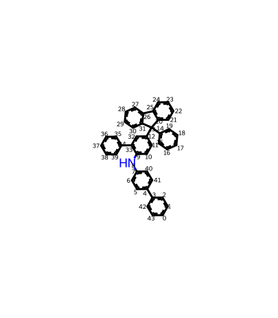 c1ccc(-c2ccc(Nc3ccc(C4(c5ccccc5)c5ccccc5-c5ccccc54)cc3-c3ccccc3)cc2)cc1